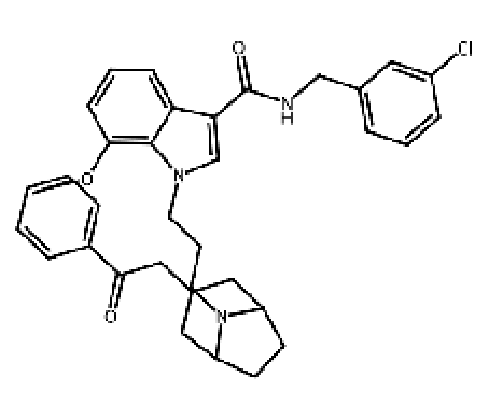 COc1cccc2c(C(=O)NCc3cccc(Cl)c3)cn(CCCN3C4CCC3CC(CC(=O)c3ccccc3)C4)c12